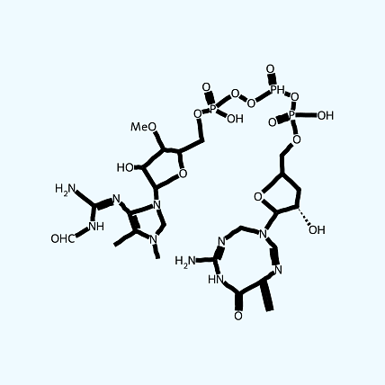 C=C1/N=C\N(C2OC(COP(=O)(O)O[PH](=O)OOP(=O)(O)OCC3OC(N4CN(C)C(C)=C4/N=C(/N)NC=O)C(O)C3OC)C[C@@H]2O)C/N=C(/N)NC1=O